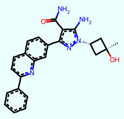 C[C@]1(O)C[C@H](n2nc(-c3ccc4ccc(-c5ccccc5)nc4c3)c(C(N)=O)c2N)C1